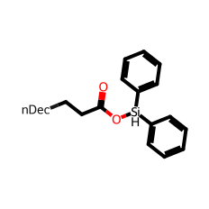 CCCCCCCCCCCCC(=O)O[SiH](c1ccccc1)c1ccccc1